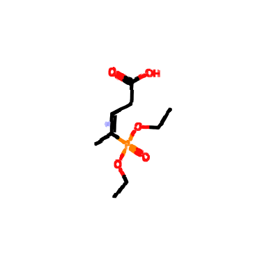 CCOP(=O)(OCC)/C(C)=C\CC(=O)O